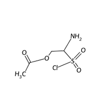 CC(=O)OCC(N)S(=O)(=O)Cl